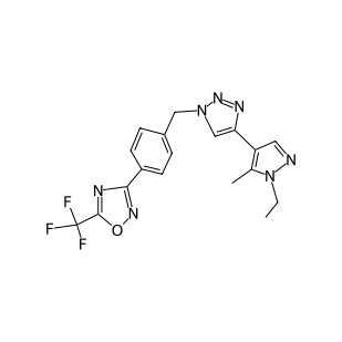 CCn1ncc(-c2cn(Cc3ccc(-c4noc(C(F)(F)F)n4)cc3)nn2)c1C